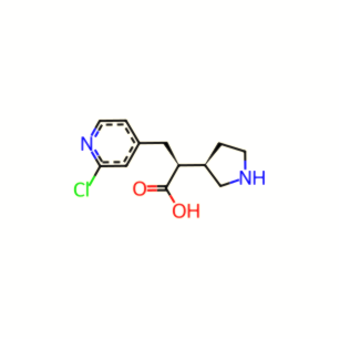 O=C(O)[C@@H](Cc1ccnc(Cl)c1)[C@H]1CCNC1